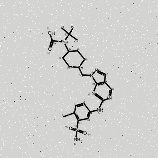 Cc1ccc(Nc2ncc3cnn(CC4CCC(N(C(=O)O)C(C)(C)C)CC4)c3n2)cc1S(N)(=O)=O